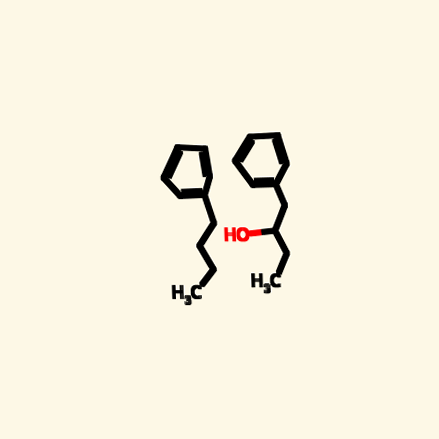 CCC(O)Cc1ccccc1.CCCCc1ccccc1